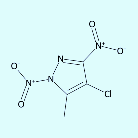 Cc1c(Cl)c([N+](=O)[O-])nn1[N+](=O)[O-]